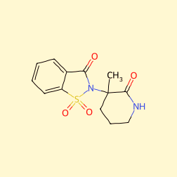 CC1(N2C(=O)c3ccccc3S2(=O)=O)CCCNC1=O